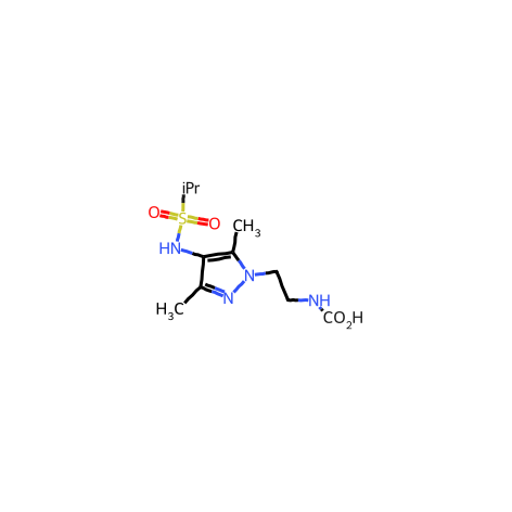 Cc1nn(CCNC(=O)O)c(C)c1NS(=O)(=O)C(C)C